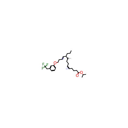 CCCC(/C=C/CCOc1cccc(CC(F)(F)F)c1)[C@H](C)CC/C=C\CCCC(=O)OC(C)C